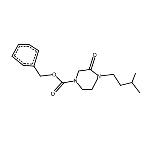 CC(C)CCN1CCN(C(=O)OCc2ccccc2)CC1=O